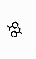 CC(CN1CCCC(C(C)C)C1)C1=CCCNC1